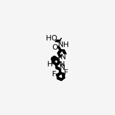 C[C@H](CO)NC(=O)c1ccnc([C@@]23CC[C@@H](c4cc(-c5c(F)cccc5F)nnc42)C3(C)C)c1